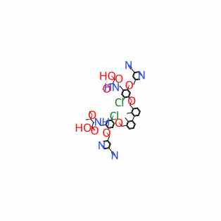 CO[C@H](C)[C@H](NCc1cc(Cl)c(OCc2cccc(-c3cccc(COc4cc(OCc5cncc(C#N)c5)c(CN[C@H](C(=O)O)[C@@H](C)OC)cc4Cl)c3C)c2C)cc1OCc1cncc(C#N)c1)C(=O)O